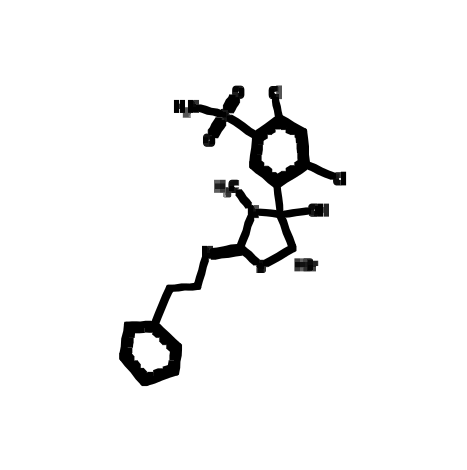 Br.CN1C(=NCCc2ccccc2)SCC1(O)c1cc(S(N)(=O)=O)c(Cl)cc1Cl